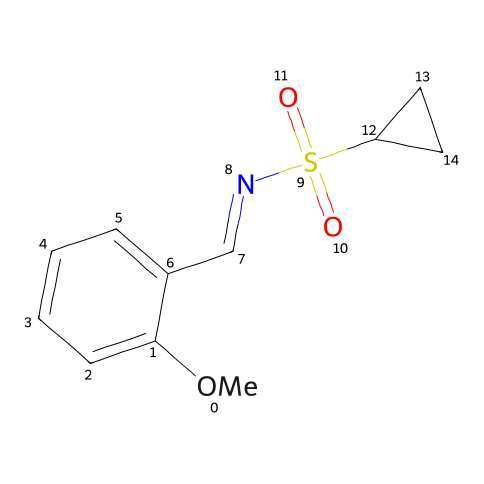 COc1ccccc1C=NS(=O)(=O)C1CC1